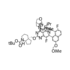 COCOc1cc(-c2nc(OC)c3c(N4CC5COC(C5)C4)nc(OC[C@]45CCC[C@H]4N(C(=O)OC(C)(C)C)CCC5)nc3c2F)c2c(C#C[Si](C(C)C)(C(C)C)C(C)C)c(F)ccc2c1